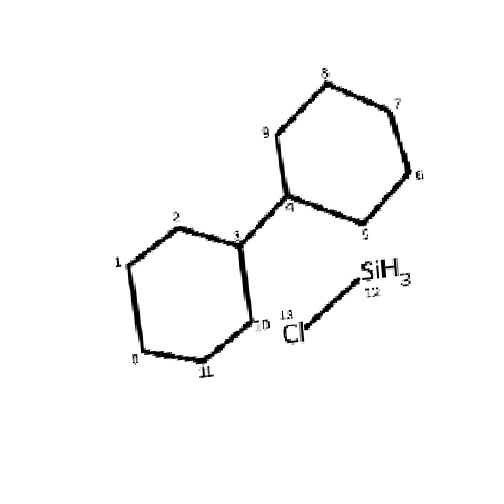 C1CCC(C2CCCCC2)CC1.[SiH3]Cl